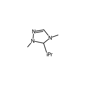 CC(C)C1N(C)C=NN1C